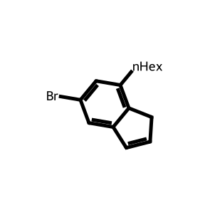 CCCCCCc1cc(Br)cc2c1CC=C2